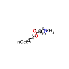 CCCCCCCCCCCCOC(=O)C1C2CN(C)CC21